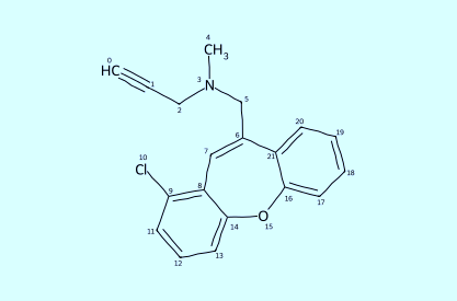 C#CCN(C)CC1=Cc2c(Cl)cccc2Oc2ccccc21